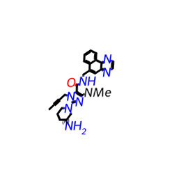 CC#CCn1c(N2CCC[C@@H](N)C2)nc(NC)c1C(=O)NCc1cc2nccnc2c2ccccc12